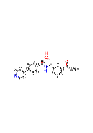 CNC(=O)c1cccc([C@@H](CO)NC(=O)c2ccc(-c3ccncc3)cc2)c1